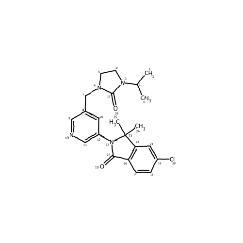 CC(C)N1CCN(Cc2cncc(N3C(=O)c4ccc(Cl)cc4C3(C)C)c2)C1=O